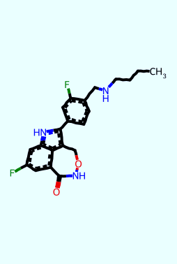 CCCCNCc1ccc(-c2[nH]c3cc(F)cc4c3c2CONC4=O)cc1F